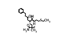 CCSCCNC(=O)[C@H](CCC(C)(F)C(N)=O)C[C@@H](O)[CH]Cc1ccccc1